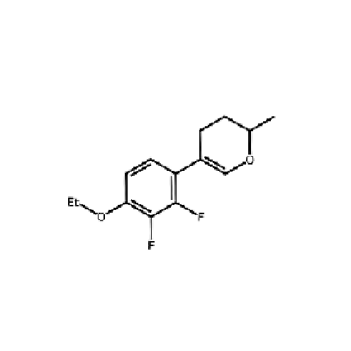 CCOc1ccc(C2=COC(C)CC2)c(F)c1F